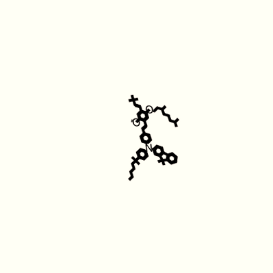 CCCCCC(C)(C)c1ccc(N(c2ccc(C=Cc3cc(OCCC(C)CCCC(C)C)c(C=CC(C)(C)C)cc3OC)cc2)c2ccc3c(c2)C(C)(C)c2ccccc2-3)cc1